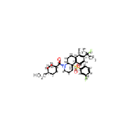 O=C(O)C12CCC(C(=O)N3CCCC4(S(=O)(=O)c5cccc(F)c5)c5ccc(C(F)(C(F)(F)F)C(F)(F)F)cc5CCC34)(CC1)CC2